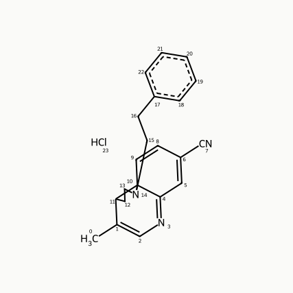 CC1=CN=C2C=C(C#N)C=CC23C1CCN3CCc1ccccc1.Cl